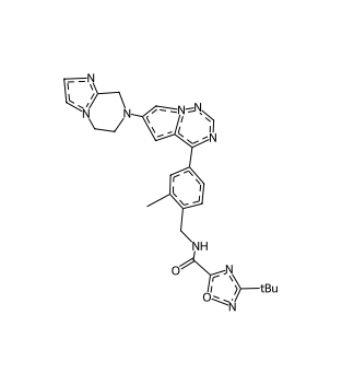 Cc1cc(-c2ncnn3cc(N4CCn5ccnc5C4)cc23)ccc1CNC(=O)c1nc(C(C)(C)C)no1